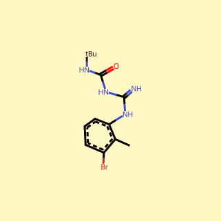 Cc1c(Br)cccc1NC(=N)NC(=O)NC(C)(C)C